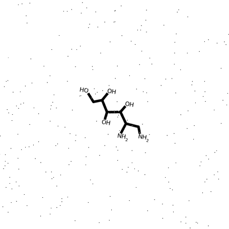 NCC(N)C(O)C(O)C(O)CO